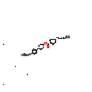 CCCCCc1ccc(C2CCC(OC(=O)C3CCC(CC/C=C/C#N)CC3)CC2)cc1